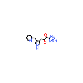 O=C(Cc1c[nH]cc1Cc1ccccn1)C(=O)c1nn[nH]n1